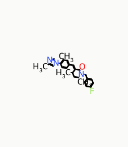 Cc1cn(-c2ccc(/C=C3/C(=O)N(Cc4ccc(F)cc4)[C@@H](C)C[C@H]3C)cc2C)cn1